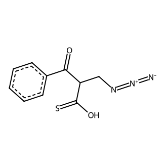 [N-]=[N+]=NCC(C(=O)c1ccccc1)C(O)=S